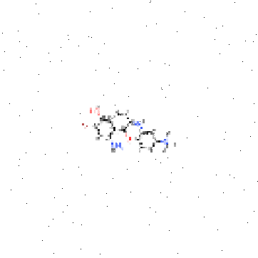 C[N+](C)(C)c1cccc(N=C2C=Cc3c(O)c(Br)cc(N)c3C2=O)c1